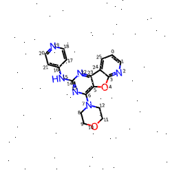 c1cnc2oc3c(N4CCOCC4)nc(Nc4ccncc4)nc3c2c1